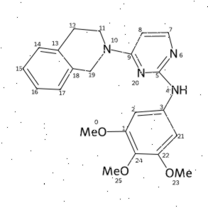 COc1cc(Nc2nccc(N3CCc4ccccc4C3)n2)cc(OC)c1OC